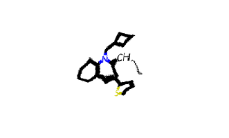 C=C1C(c2cccs2)=CC2=C(CCCC2)N1CC1CCC1